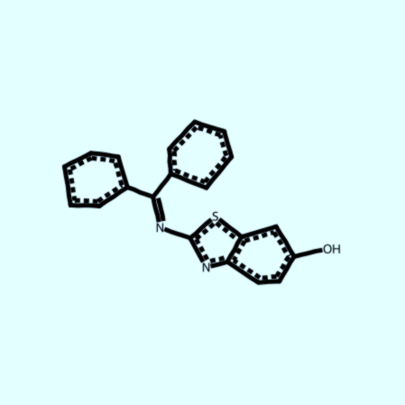 Oc1ccc2nc(N=C(c3ccccc3)c3ccccc3)sc2c1